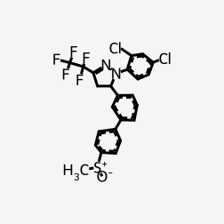 C[S+]([O-])c1ccc(-c2cccc(C3CC(C(F)(F)C(F)(F)F)=NN3c3ccc(Cl)cc3Cl)c2)cc1